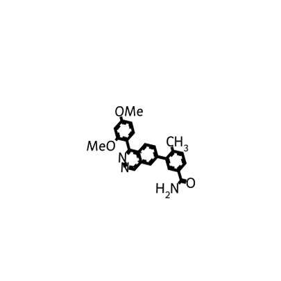 COc1ccc(-c2nncc3cc(-c4cc(C(N)=O)ccc4C)ccc23)c(OC)c1